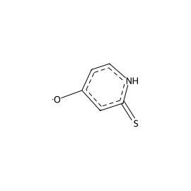 [O]c1cc[nH]c(=S)c1